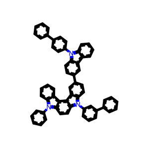 c1ccc(-c2ccc(-n3c4ccccc4c4cc(-c5ccc6c(c5)c5c7c8ccccc8n(-c8ccccc8)c7ccc5n6-c5cccc(-c6ccccc6)c5)ccc43)cc2)cc1